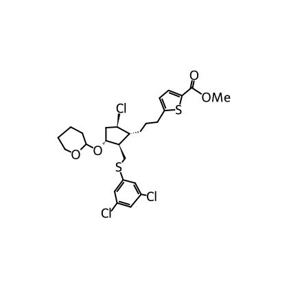 COC(=O)c1ccc(CCC[C@@H]2[C@@H](CSc3cc(Cl)cc(Cl)c3)[C@H](OC3CCCCO3)C[C@H]2Cl)s1